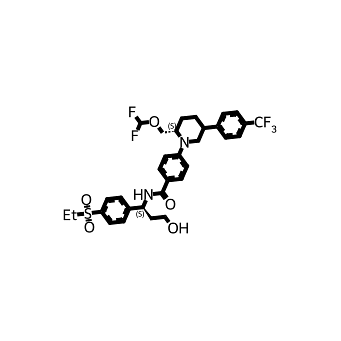 CCS(=O)(=O)c1ccc([C@H](CCO)NC(=O)c2ccc(N3CC(c4ccc(C(F)(F)F)cc4)CC[C@H]3COC(F)F)cc2)cc1